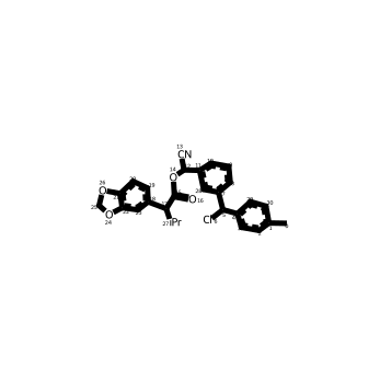 Cc1ccc(C(Cl)c2cccc(C(C#N)OC(=O)C(c3ccc4c(c3)OCO4)C(C)C)c2)cc1